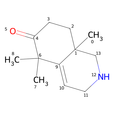 CC12CCC(=O)C(C)(C)C1=CCNC2